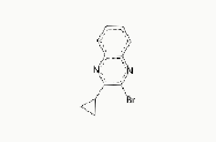 Brc1nc2ccccc2nc1C1CC1